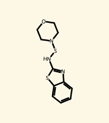 c1ccc2sc(NSN3CCOCC3)nc2c1